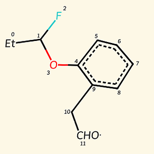 CCC(F)Oc1ccccc1C[C]=O